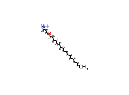 CCCCCCCCCCCCCCCCCCOCCC[NH]